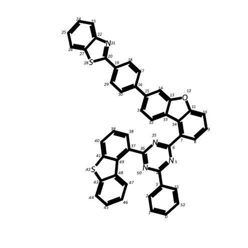 c1ccc(-c2nc(-c3cccc4oc5cc(-c6ccc(-c7nc8ccccc8s7)cc6)ccc5c34)nc(-c3cccc4sc5ccccc5c34)n2)cc1